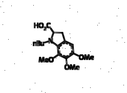 CCCCN1c2c(cc(OC)c(OC)c2OC)CC1C(=O)O